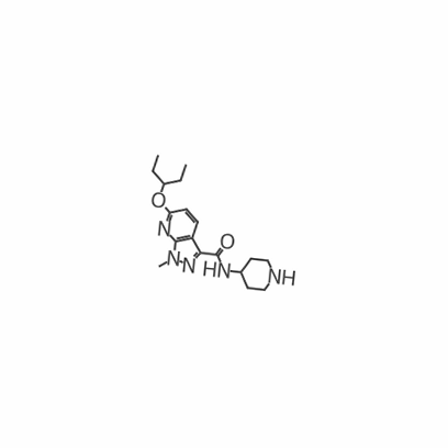 CCC(CC)Oc1ccc2c(C(=O)NC3CCNCC3)nn(C)c2n1